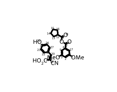 COc1cc(OC)cc(C(=O)OC(=O)C2CCCC2)c1.N#CC(=Cc1ccc(O)cc1)C(=O)O